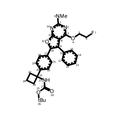 CNc1nc(OCCF)c2c(-c3ccccc3)c(-c3ccc(C4(NC(=O)OC(C)(C)C)CCC4)cc3)oc2n1